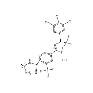 C[C@H](N)NC(=O)c1ccc(/C(F)=C/C(c2cc(Cl)c(Cl)c(Cl)c2)C(F)(F)F)cc1C(F)(F)F.Cl